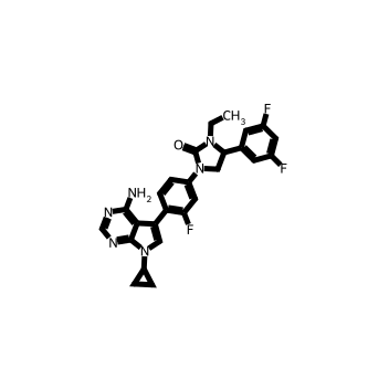 CCN1C(=O)N(c2ccc(-c3cn(C4CC4)c4ncnc(N)c34)c(F)c2)CC1c1cc(F)cc(F)c1